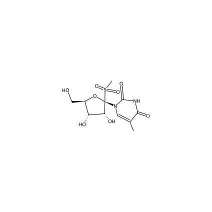 Cc1cn([C@]2(S(C)(=O)=O)O[C@H](CO)[C@@H](O)[C@H]2O)c(=O)[nH]c1=O